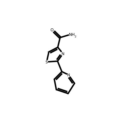 NC(=O)c1[c]sc(-c2ccccn2)n1